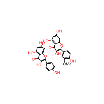 COc1cc(-c2oc3cc(O)cc(O)c3c(=O)c2O)ccc1O.O=c1c(O)c(-c2ccc(O)cc2)oc2cc(O)cc(O)c12